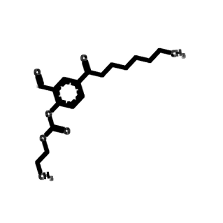 CCCCCCCC(=O)c1ccc(OC(=O)OCCC)c([C]=O)c1